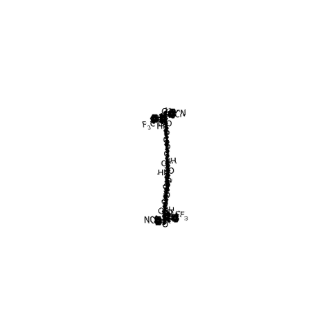 Cc1c([S+]([O-])c2ccc(C#N)cc2)cc(C(=O)NCCOCCOCCOCCOCCNC(=O)CCC(=O)NCCOCCOCCOCCOCCNC(=O)c2cc([S+]([O-])c3ccc(C#N)cc3)c(C)n(-c3cccc(C(F)(F)F)c3)c2=O)c(=O)n1-c1cccc(C(F)(F)F)c1